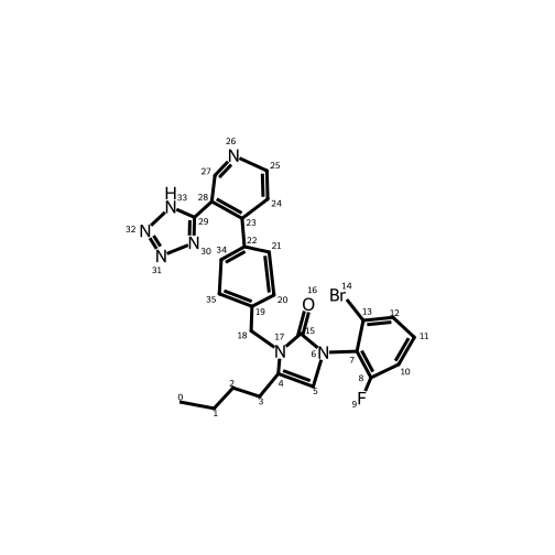 CCCCc1cn(-c2c(F)cccc2Br)c(=O)n1Cc1ccc(-c2ccncc2-c2nnn[nH]2)cc1